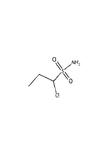 CCC(Cl)S(N)(=O)=O